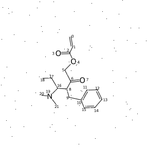 C=CC(=O)OCC(=O)C(Cc1ccccc1)C(CC)N(C)C